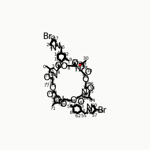 CC(C)C[C@H]1C(=O)O[C@H](Cc2cccc(Cn3cc(Br)cn3)c2)C(=O)N(C)[C@@H](CC(C)C)C(=O)O[C@H](C)C(=O)N(C)[C@@H](CC(C)C)C(=O)O[C@H](Cc2ccc(Cn3cc(Br)cn3)cc2)C(=O)N(C)[C@@H](CC(C)C)C(=O)O[C@H](C)C(=O)N1C